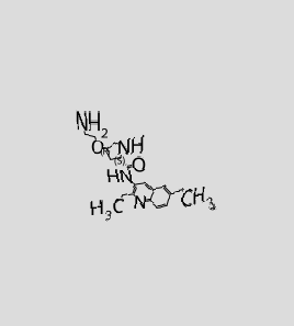 CCc1ccc2nc(CC)c(NC(=O)[C@@H]3C[C@@H](OCCN)CN3)cc2c1